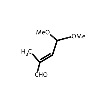 COC(C=C(C)C=O)OC